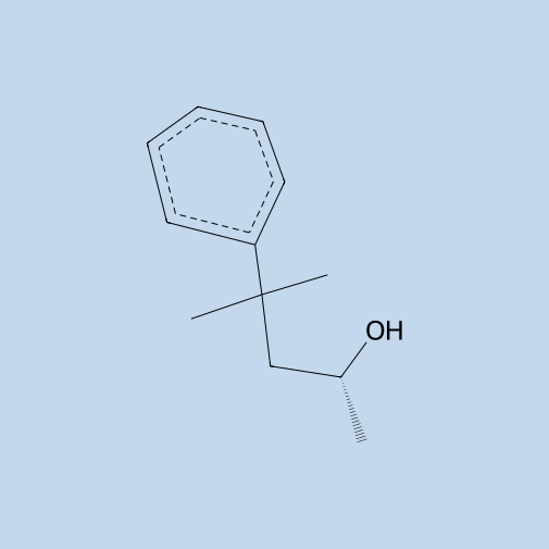 C[C@@H](O)CC(C)(C)c1ccccc1